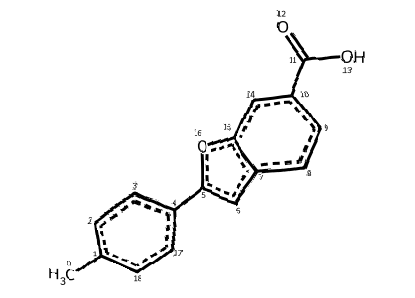 Cc1ccc(-c2cc3ccc(C(=O)O)cc3o2)cc1